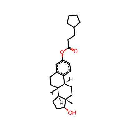 C[C@]12CC[C@@H]3c4ccc(OC(=O)CCC5CCCC5)cc4CC[C@H]3[C@@H]1CC[C@@H]2O